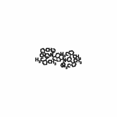 Cc1cccc(C)c1-c1cc(-c2c(C)cccc2C)cc(N(c2ccccc2)c2ccc3ccc4c(N(c5ccccc5)c5cc(-c6c(C)cccc6C)cc(-c6c(C)cccc6C)c5)ccc5ccc2c3c54)c1